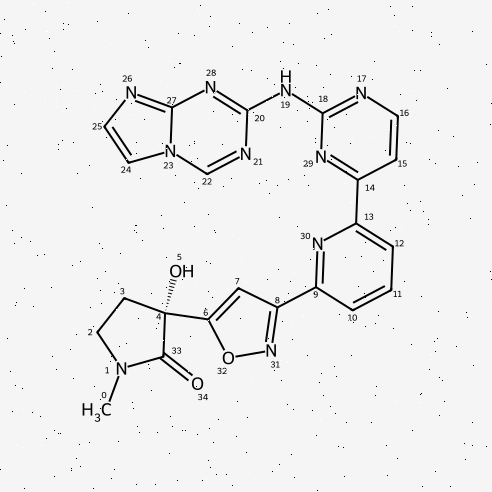 CN1CC[C@@](O)(c2cc(-c3cccc(-c4ccnc(Nc5ncn6ccnc6n5)n4)n3)no2)C1=O